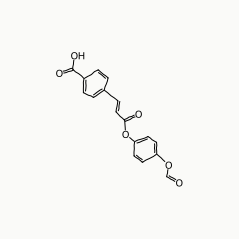 O=COc1ccc(OC(=O)C=Cc2ccc(C(=O)O)cc2)cc1